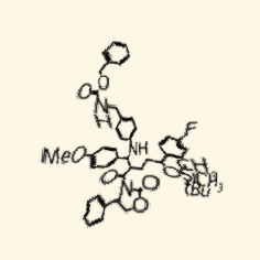 COc1ccc(C(Nc2ccc(CNC(=O)OCc3ccccc3)cc2)C(CCC(O[Si](C)(C)C(C)(C)C)c2ccc(F)cc2)C(=O)N2C(=O)OCC2c2ccccc2)cc1